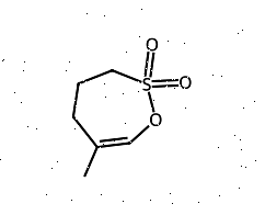 CC1=COS(=O)(=O)CCC1